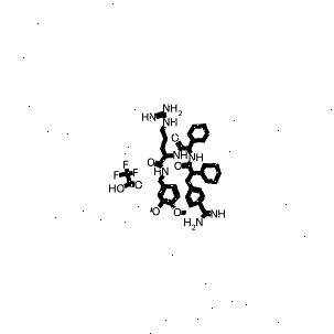 COc1ccc(CNC(=O)C(CCCNC(=N)N)NC(=O)C(NC(=O)C(Cc2ccc(C(=N)N)cc2)C2CCCCC2)C2CCCCC2)cc1OC.O=C(O)C(F)(F)F